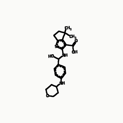 CC1(C)CCc2sc(NC(O)c3ccc(NC4CCOCC4)cc3)c(C(=O)O)c21